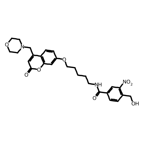 O=C(NCCCCCOc1ccc2c(CN3CCOCC3)cc(=O)oc2c1)c1ccc(CO)c([N+](=O)[O-])c1